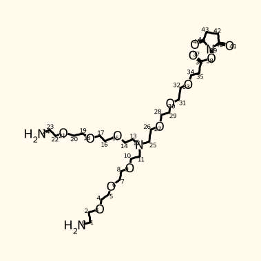 NCCOCCOCCOCCN(CCOCCOCCOCCN)CCOCCOCCOCCC(=O)ON1C(=O)CCC1=O